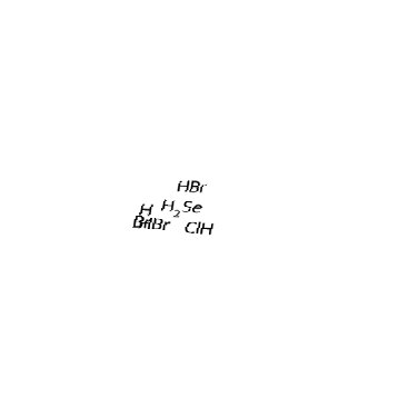 Br.Br.Br.Cl.[SeH2]